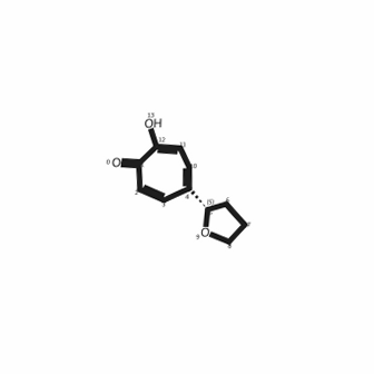 O=c1ccc([C@@H]2CCCO2)ccc1O